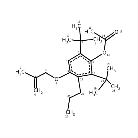 C=C(C)COc1cc(C(C)(C)C)c(OC(C)=O)c(C(C)(C)C)c1CCC